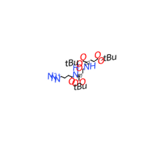 CC(C)(C)OC(=O)CC[C@H](NC(=O)C[C@@H](NC(=O)CCCN=[N+]=[N-])C(=O)OC(C)(C)C)C(=O)OC(C)(C)C